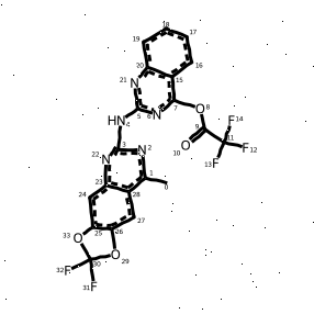 Cc1nc(Nc2nc(OC(=O)C(F)(F)F)c3ccccc3n2)nc2cc3c(cc12)OC(F)(F)O3